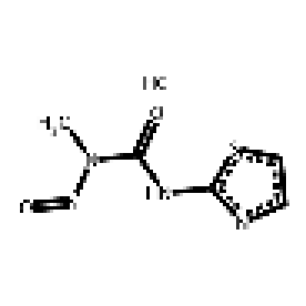 CN(N=O)C(=O)Nc1nccs1.Cl